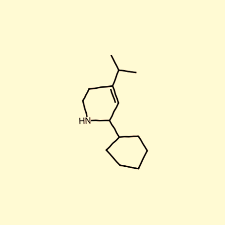 CC(C)C1=CC(C2CCCCC2)NCC1